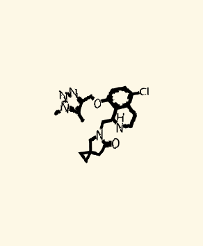 Cc1c(COc2ccc(Cl)c3c2C(CN2CC4(CC4)CC2=O)NCC3)nnn1C